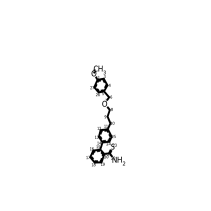 COc1ccc(COCCCc2ccc(-c3ccccc3C(N)=S)cc2)cc1